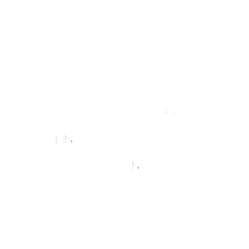 CCNS(=O)(=O)c1ccc(F)c(OC(F)F)c1C#N